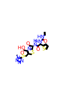 C=CNC(=O)NC(C(=O)N[C@H]1C(=O)N2C(C(=O)O)=C(CSc3nnnn3C)CSC12)c1cccs1